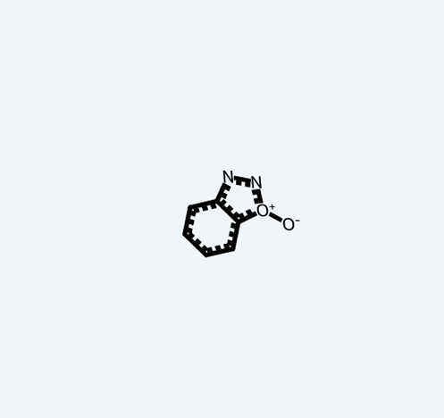 [O-][o+]1nnc2ccccc21